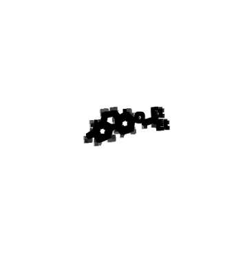 CCC(CC)COc1ccc2c(c1)CCc1cc(C)ccc1-2